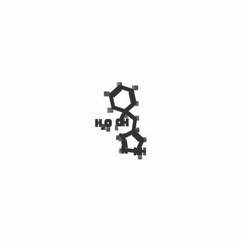 O.OC1(Cc2c[nH]nn2)C=CC=CC1